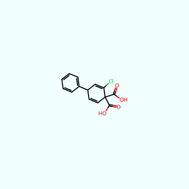 O=C(O)C1(C(=O)O)C=CC(c2ccccc2)C=C1Cl